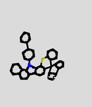 c1ccc(-c2ccc(-n3c4c5c(ccc4c4ccc6ccccc6c43)C3(c4ccccc4S5)c4ccccc4-c4ccccc43)cc2)cc1